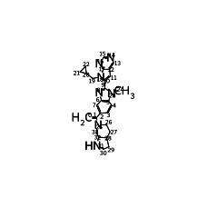 C=C(c1ccc2c(c1)nc(-c1cc3cncnc3n1CC1CC1)n2C)N1CCC2CCNC2C1